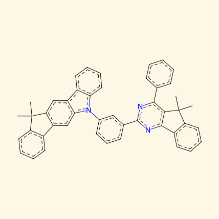 CC1(C)c2ccccc2-c2cc3c(cc21)c1ccccc1n3-c1cccc(-c2nc(-c3ccccc3)c3c(n2)-c2ccccc2C3(C)C)c1